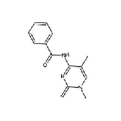 C=C1N=C(NC(=O)c2ccccc2)C(C)=CN1C